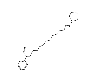 O=[C]C(CCCCCCCCCCCCOC1CC[CH]CC1)c1ccccc1